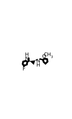 COc1ccccc1CNC[C@@H]1C[C@H]1c1c[nH]c2ccc(F)cc12